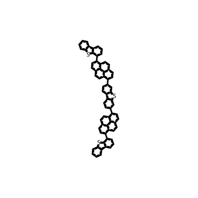 c1ccc2c(c1)sc1c(-c3ccc4ccc5c(-c6ccc7c(c6)sc6cc(-c8ccc9ccc%10c(-c%11cccc%12c%11sc%11ccccc%11%12)ccc%11ccc8c9c%11%10)ccc67)ccc6ccc3c4c65)cccc12